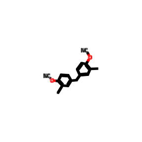 Cc1cc(Cc2ccc(OC#N)c(C)c2)ccc1OC#N